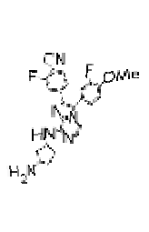 COc1ccc(-c2c(-c3ccc(C#N)c(F)c3)nc3c(N[C@@H]4CC[C@H](N)C4)nccn23)cc1F